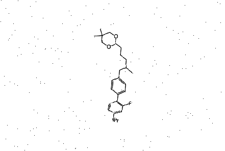 CC(CCCC1OCC(C)(C)CO1)Cc1ccc(-c2ccc(C(C)C)cc2F)cc1